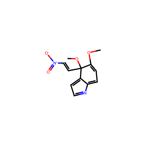 COC1=CC=C2N=CC=C2C1(C=C[N+](=O)[O-])OC